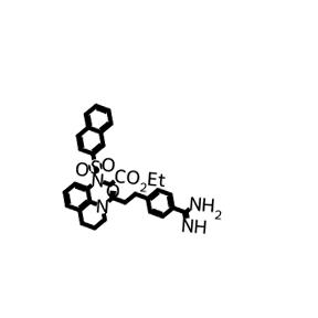 CCOC(=O)CN(c1cccc2c1N(C(=O)CCc1ccc(C(=N)N)cc1)CCC2)S(=O)(=O)c1ccc2ccccc2c1